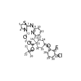 COCn1ccsc1=Nc1cccc(CC2(C(=O)OC(C)(C)C)CCC(Oc3cccc(Cl)c3F)CC2)n1